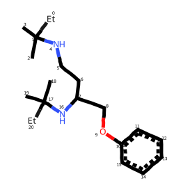 CCC(C)(C)NCCC(COc1ccccc1)NC(C)(C)CC